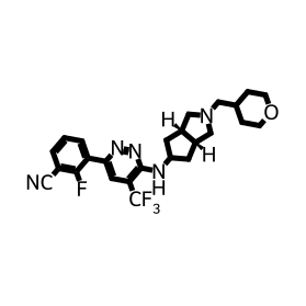 N#Cc1cccc(-c2cc(C(F)(F)F)c(NC3C[C@@H]4CN(CC5CCOCC5)C[C@@H]4C3)nn2)c1F